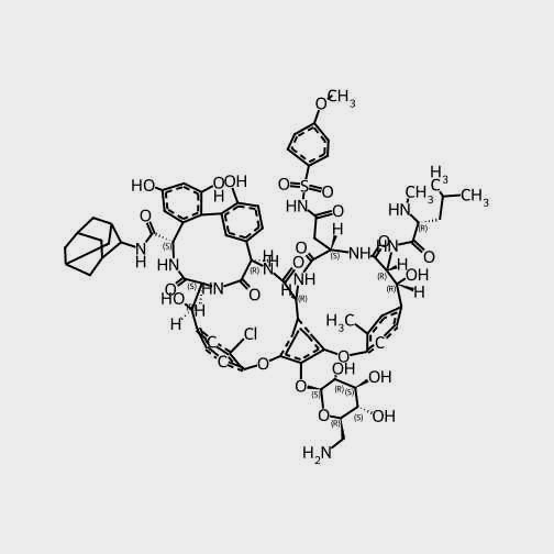 CN[C@H](CC(C)C)C(=O)N[C@H]1C(=O)N[C@@H](CC(=O)NS(=O)(=O)c2ccc(OC)cc2)C(=O)N[C@H]2C(=O)N[C@H]3C(=O)N[C@H](C(=O)N[C@H](C(=O)NC4C5CC6CC(C5)CC4C6)c4cc(O)cc(O)c4-c4cc3ccc4O)[C@H](O)c3ccc(c(Cl)c3)Oc3cc2cc(c3O[C@@H]2O[C@H](CN)[C@@H](O)[C@H](O)[C@H]2O)Oc2ccc(cc2C)[C@H]1O